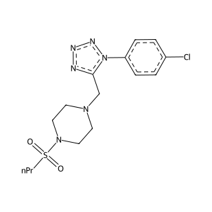 CCCS(=O)(=O)N1CCN(Cc2nnnn2-c2ccc(Cl)cc2)CC1